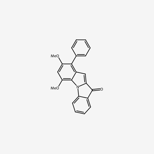 COc1cc(OC)c2c(cc3n2-c2ccccc2C3=O)c1-c1ccccc1